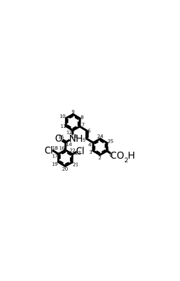 O=C(O)c1ccc(C=Cc2ccccc2NC(=O)c2c(Cl)cccc2Cl)cc1